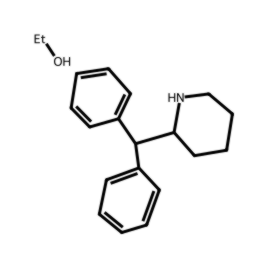 CCO.c1ccc(C(c2ccccc2)C2CCCCN2)cc1